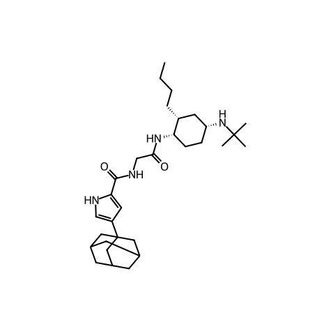 CCCC[C@@H]1C[C@H](NC(C)(C)C)CC[C@@H]1NC(=O)CNC(=O)c1cc(C23CC4CC(CC(C4)C2)C3)c[nH]1